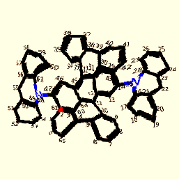 C1=CCCC(c2ccccc2-c2c3cc(N4c5ccccc5Cc5ccccc54)ccc3c(-c3ccccc3-c3ccccc3)c3cc(N4C5=C(CCC=C5)Cc5ccccc54)ccc23)=C1